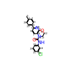 Cc1ccc(-c2ccc3c(n2)OCCN3C(=O)Nc2cccc(Cl)c2)cc1